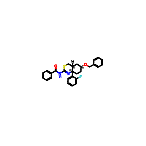 O=C(NC1=N[C@@]2(c3ccccc3F)CC[C@@H](OCc3ccccc3)C[C@H]2CS1)c1ccccc1